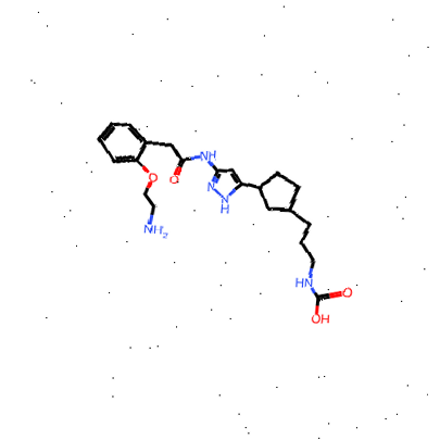 NCCOc1ccccc1CC(=O)Nc1cc(C2CCC(CCCNC(=O)O)C2)[nH]n1